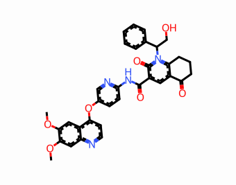 COc1cc2nccc(Oc3ccc(NC(=O)c4cc5c(n(C(CO)c6ccccc6)c4=O)CCCC5=O)nc3)c2cc1OC